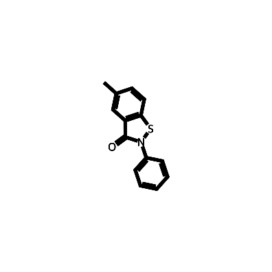 Cc1ccc2sn(-c3ccccc3)c(=O)c2c1